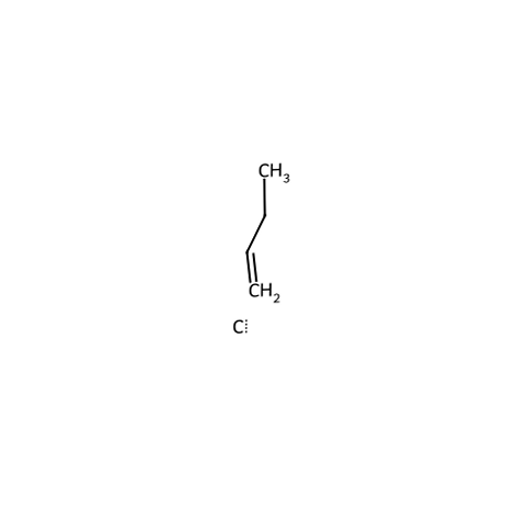 C=CCC.[C]